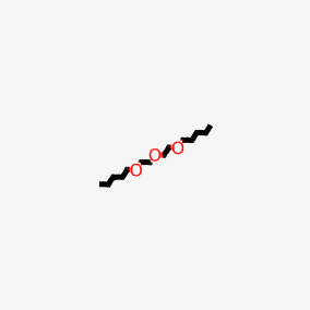 CCCCCOCCOCCOCCCCC